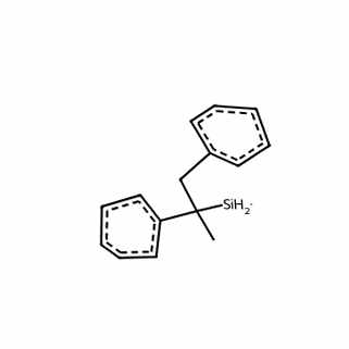 CC([SiH2])(Cc1ccccc1)c1ccccc1